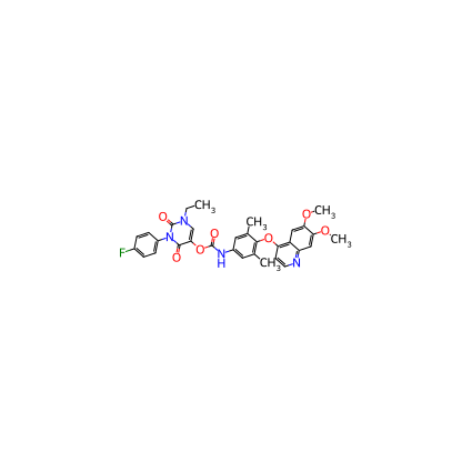 CCn1cc(OC(=O)Nc2cc(C)c(Oc3ccnc4cc(OC)c(OC)cc34)c(C)c2)c(=O)n(-c2ccc(F)cc2)c1=O